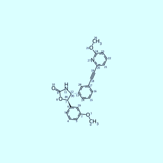 COc1cccc([C@H]2OC(=O)N[C@@H]2c2cccc(C#Cc3cccc(OC)n3)c2)c1